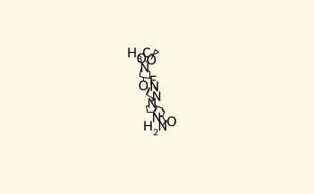 CC1(OC(=O)N2CCC(Oc3cc(N4CCc5nc(C(N)=O)ccc54)ncn3)C(F)C2)CC1